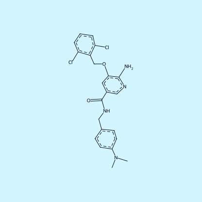 CN(C)c1ccc(CNC(=O)c2cnc(N)c(OCc3c(Cl)cccc3Cl)c2)cc1